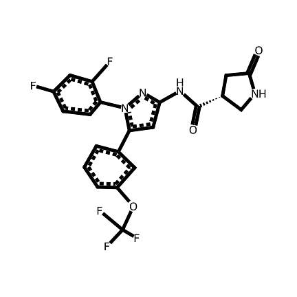 O=C1C[C@@H](C(=O)Nc2cc(-c3cccc(OC(F)(F)F)c3)n(-c3ccc(F)cc3F)n2)CN1